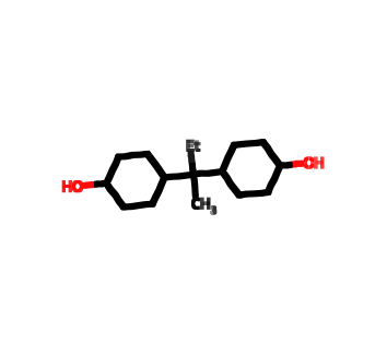 CCC(C)(C1CCC(O)CC1)C1CCC(O)CC1